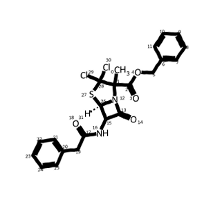 CC1(C(=O)OCc2ccccc2)N2C(=O)C(NC(=O)Cc3ccccc3)[C@H]2SC1(Cl)Cl